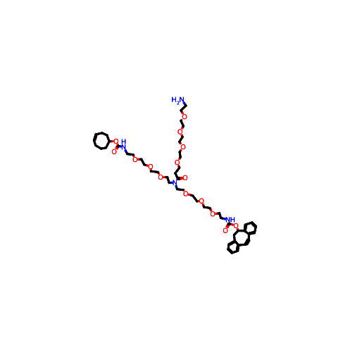 NCCOCCOCCOCCOCCC(=O)N(CCOCCOCCOCCNC(=O)OC1CCC=CCCC1)CCOCCOCCOCCNC(=O)OC1Cc2ccccc2C#Cc2ccccc21